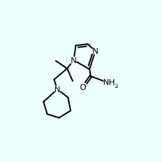 CC(C)(CN1CCCCC1)n1c[c]nc1C(N)=O